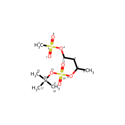 CC(CCOS(C)(=O)=O)OS(=O)(=O)O[Si](C)(C)C